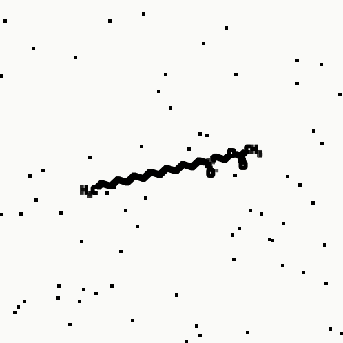 CCCCCCCCCCCCCC[S+]([O-])CCOC(C)=O